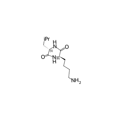 CC(C)C[C@@H]1NC(=O)[C@@H](CCCCN)NC1=O